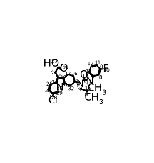 CC(C)CN(c1nc2cc(F)ccc2o1)C1CCc2c(CC(=O)O)c3ccc(Cl)cn3c2C1